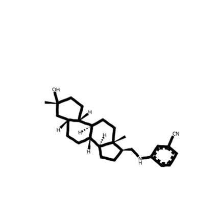 C[C@@]1(O)CC[C@H]2[C@H](CC[C@@H]3[C@@H]2CC[C@]2(C)[C@@H](CNc4cccc(C#N)c4)CC[C@@H]32)C1